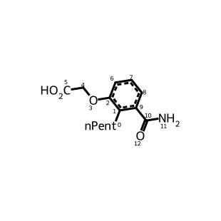 CCCCCc1c(OCC(=O)O)cccc1C(N)=O